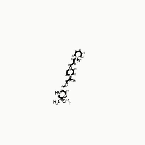 CC1(C)CN[C@H](COCC(=O)N2CCN(CCC[N+]3([O-])CCCCC3)CC2)CO1